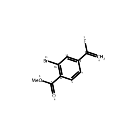 C=C(F)c1ccc(C(=O)OC)c(Br)c1